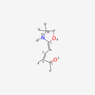 CC(=O)/C(C)=C\C=C1\OCC(C)(C)N1C